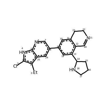 CCc1c(Cl)[nH]c2ncc(-c3cc4c(c(C5CCCN5)c3)C=NCC4)cc12